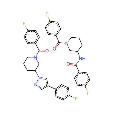 O=C(NC1CCCN(C(=O)c2ccc(F)cc2)C1)c1ccc(F)cc1.O=C(c1ccc(F)cc1)N1CCCC(n2cc(-c3ccc(F)cc3)cn2)C1